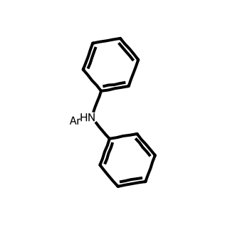 [Ar].c1ccc(Nc2ccccc2)cc1